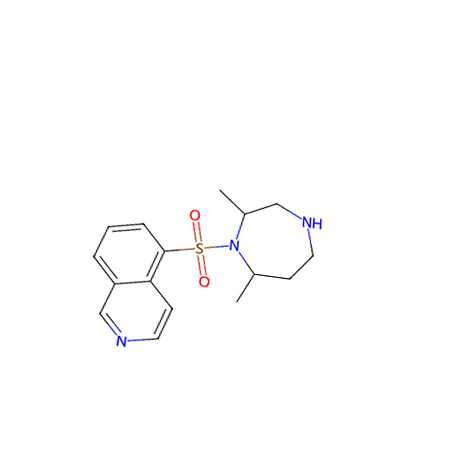 CC1CCNCC(C)N1S(=O)(=O)c1cccc2cnccc12